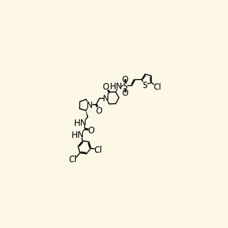 O=C(NC[C@H]1CCCN1C(=O)CN1CCC[C@H](NS(=O)(=O)/C=C/c2ccc(Cl)s2)C1=O)Nc1cc(Cl)cc(Cl)c1